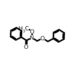 CON(COCc1ccccc1)C(=O)c1ccccc1